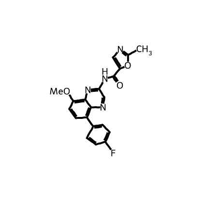 COc1ccc(-c2ccc(F)cc2)c2ncc(NC(=O)c3cnc(C)o3)nc12